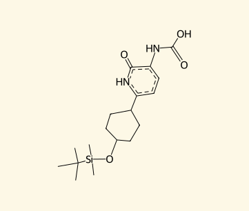 CC(C)(C)[Si](C)(C)OC1CCC(c2ccc(NC(=O)O)c(=O)[nH]2)CC1